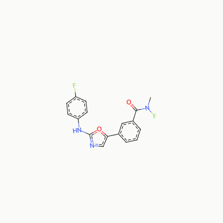 CN(F)C(=O)c1cccc(-c2cnc(Nc3ccc(F)cc3)o2)c1